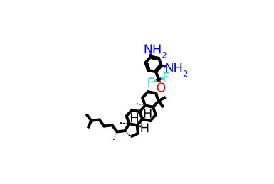 CC(C)CCC[C@@H](C)[C@H]1CC[C@H]2[C@@H]3CCC4C(C)(C)C(OC(F)(F)c5ccc(N)cc5N)CC[C@]4(C)[C@H]3CC[C@]12C